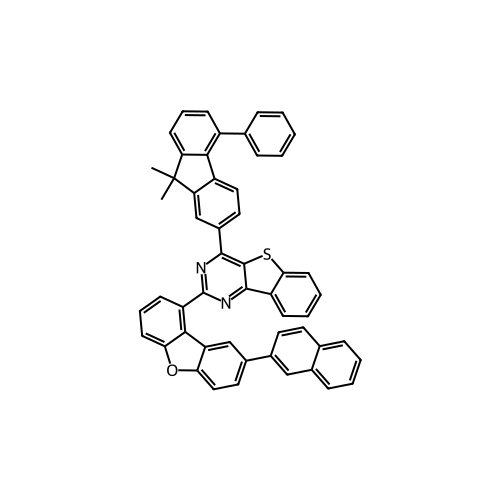 CC1(C)c2cc(-c3nc(-c4cccc5oc6ccc(-c7ccc8ccccc8c7)cc6c45)nc4c3sc3ccccc34)ccc2-c2c(-c3ccccc3)cccc21